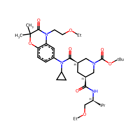 CCOCCN1C(=O)C(C)(C)Oc2ccc(N(C(=O)[C@@H]3C[C@H](C(=O)N[C@H](COCC)C(C)C)CN(C(=O)OC(C)(C)C)C3)C3CC3)cc21